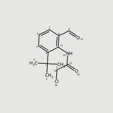 CC(C)(C)c1cccc(C=O)c1NC(=O)CCl